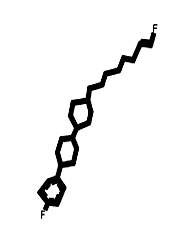 FC=CCCCCCCC1CCC(C2CCC(c3ccc(F)cc3)CC2)CC1